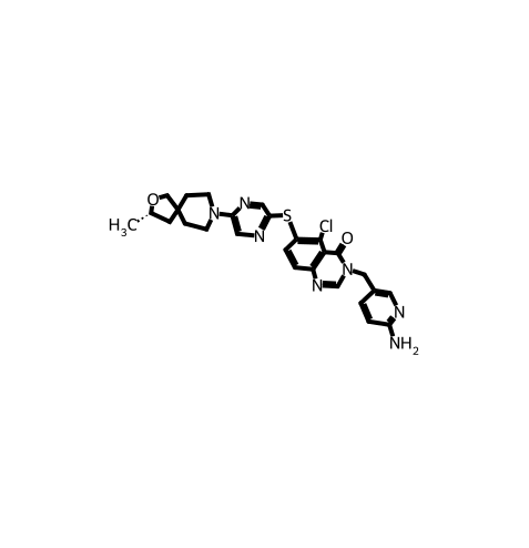 C[C@H]1CC2(CCN(c3cnc(Sc4ccc5ncn(Cc6ccc(N)nc6)c(=O)c5c4Cl)cn3)CC2)CO1